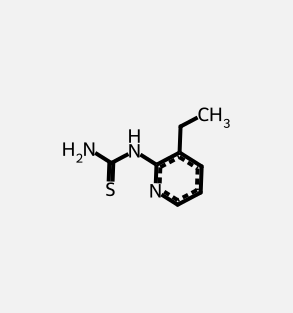 CCc1cccnc1NC(N)=S